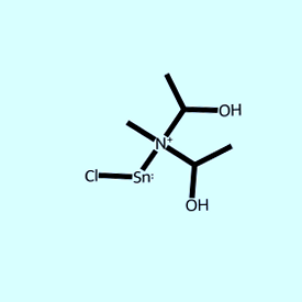 CC(O)[N+](C)([Sn][Cl])C(C)O